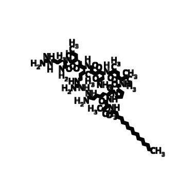 CCCCCCCCCCCCCCCC(=O)N[C@H](C(=O)N[C@@H](CCCCC(=N)N)C(=O)N1CCC[C@H]1C(=O)N[C@H](C(=O)C[C@@H](C)C(=O)N[C@@H](CC(N)=O)C(=O)C[C@@H](C)C(=O)N[C@@H](CCCNC(=N)N)C(=O)C[C@@H](CC(C)C)C(=O)N[C@@H](CCCNC(=N)N)C(N)=O)C(C)C)C(C)C